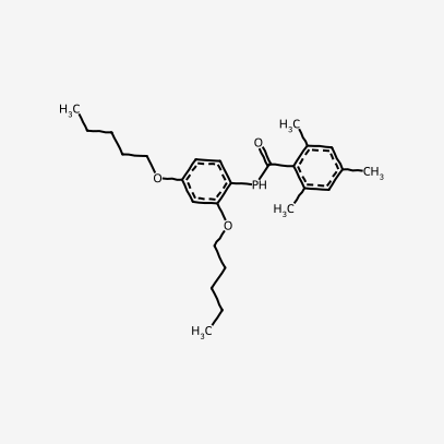 CCCCCOc1ccc(PC(=O)c2c(C)cc(C)cc2C)c(OCCCCC)c1